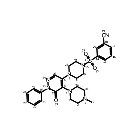 CN1CCN(c2c(N3CCN(S(=O)(=O)c4cccc(C#N)c4)CC3)cnn(-c3ccccc3)c2=O)CC1